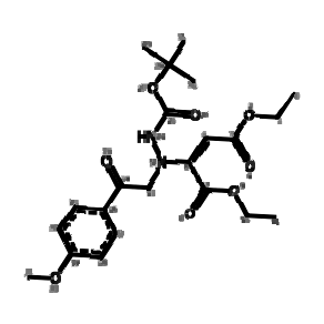 CCOC(=O)C=C(C(=O)OCC)N(CC(=O)c1ccc(OC)cc1)NC(=O)OC(C)(C)C